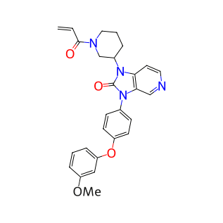 C=CC(=O)N1CCCC(n2c(=O)n(-c3ccc(Oc4cccc(OC)c4)cc3)c3cnccc32)C1